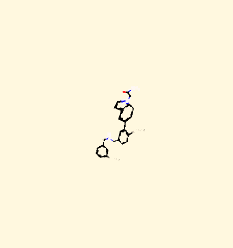 COc1cccc([C@@H](C)NCc2ccc(OC)c(-c3ccc4c(ccn4CC(N)=O)c3)c2)c1